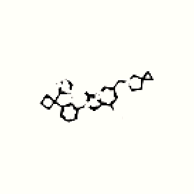 Cn1cnnc1C1(c2cccc(-n3cc4c(C(F)(F)F)cc(CN5CCC6(CC6)C5)cn4c3=O)c2)CCC1